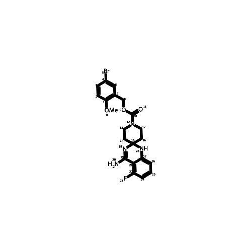 COc1ccc(Br)cc1COC(=O)N1CCC2(CC1)N=C(N)c1c(F)cccc1N2